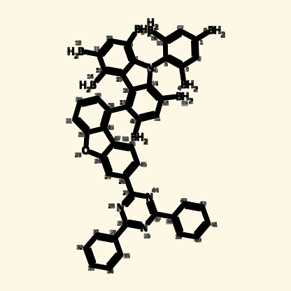 Bc1cc(B)c(-n2c3c(B)cc(B)c(B)c3c3c(-c4cccc5oc6cc(-c7nc(-c8ccccc8)nc(-c8ccccc8)n7)ccc6c45)c(B)cc(B)c32)c(B)c1